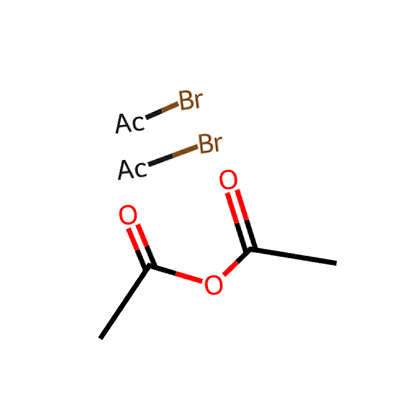 CC(=O)Br.CC(=O)Br.CC(=O)OC(C)=O